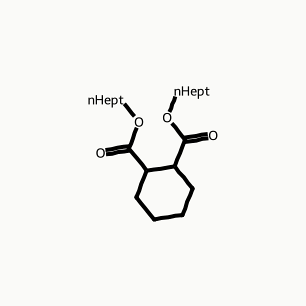 CCCCCCCOC(=O)C1CCCCC1C(=O)OCCCCCCC